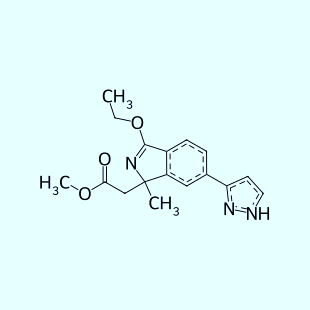 CCOC1=NC(C)(CC(=O)OC)c2cc(-c3cc[nH]n3)ccc21